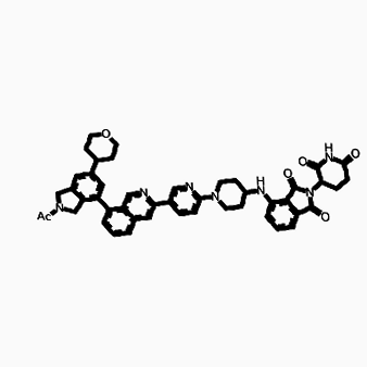 CC(=O)N1Cc2cc(C3CCOCC3)cc(-c3cccc4cc(-c5ccc(N6CCC(Nc7cccc8c7C(=O)N(C7CCC(=O)NC7=O)C8=O)CC6)nc5)ncc34)c2C1